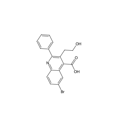 O=C(O)c1c(CCO)c(-c2ccccc2)nc2ccc(Br)cc12